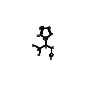 CC(C)C(C[O])n1ccnc1